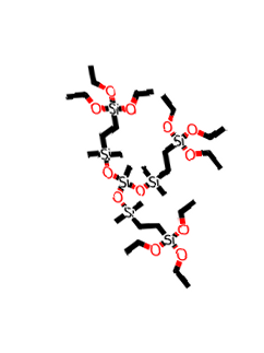 CCO[Si](CC[Si](C)(C)O[Si](C)(O[Si](C)(C)CC[Si](OCC)(OCC)OCC)O[Si](C)(C)CC[Si](OCC)(OCC)OCC)(OCC)OCC